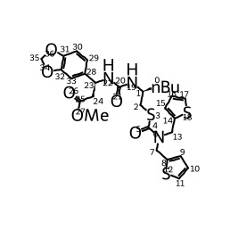 CCCC[C@@H](CSC(=O)N(Cc1cccs1)Cc1cccs1)NC(=O)N[C@@H](CC(=O)OC)c1ccc2c(c1)OCO2